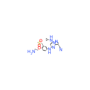 CS(=O)(=O)Cc1cc(Nc2cc(NC3CC3)n3ncc(C#N)c3n2)ccc1OCCN